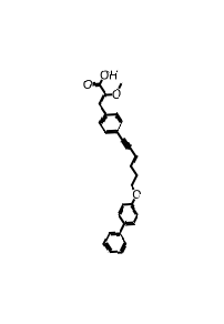 COC(Cc1ccc(C#CCCCCOc2ccc(-c3ccccc3)cc2)cc1)C(=O)O